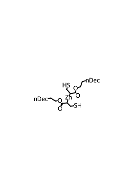 CCCCCCCCCCCCOC(=O)[CH](CS)[Zn][CH](CS)C(=O)OCCCCCCCCCCCC